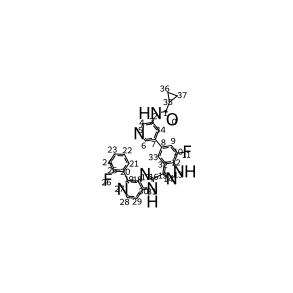 O=C(Nc1cncc(-c2cc(F)c3[nH]nc(-c4nc5c(-c6ccccc6F)nccc5[nH]4)c3c2)c1)C1CC1